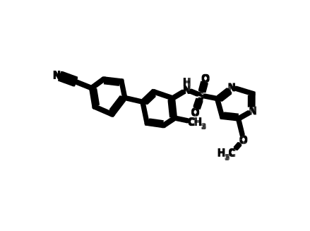 COc1cc(S(=O)(=O)Nc2cc(-c3ccc(C#N)cc3)ccc2C)ncn1